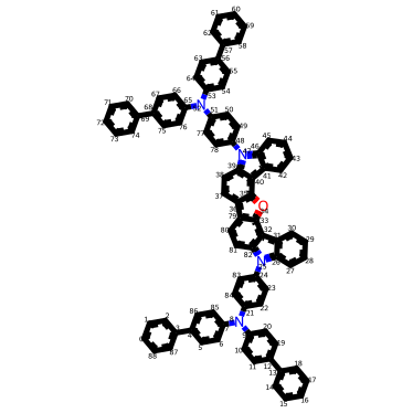 c1ccc(-c2ccc(N(c3ccc(-c4ccccc4)cc3)c3ccc(-n4c5ccccc5c5c6oc7c(ccc8c7c7ccccc7n8-c7ccc(N(c8ccc(-c9ccccc9)cc8)c8ccc(-c9ccccc9)cc8)cc7)c6ccc54)cc3)cc2)cc1